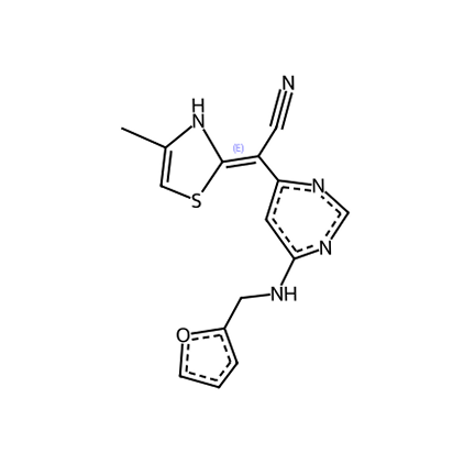 CC1=CS/C(=C(/C#N)c2cc(NCc3ccco3)ncn2)N1